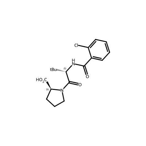 CC(C)(C)[C@H](NC(=O)c1ccccc1Cl)C(=O)N1CCC[C@H]1C(=O)O